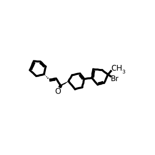 CC1(Br)C=CC(C2=CC[C@H](C(=O)/C=C/[C@H]3C=CC=CC3)CC2)=CC1